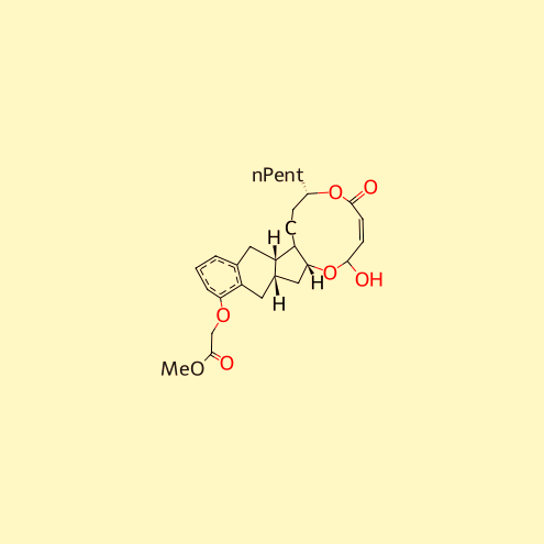 CCCCC[C@H]1CCC2[C@H]3Cc4cccc(OCC(=O)OC)c4C[C@H]3C[C@H]2OC(O)/C=C\C(=O)O1